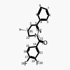 C[C@@H]1CC(c2ccccc2)=NN(C(=O)c2ccc(F)c(F)c2)C1